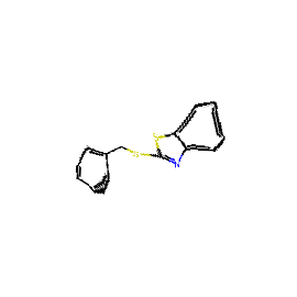 c1ccc(CSc2nc3ccccc3s2)cc1